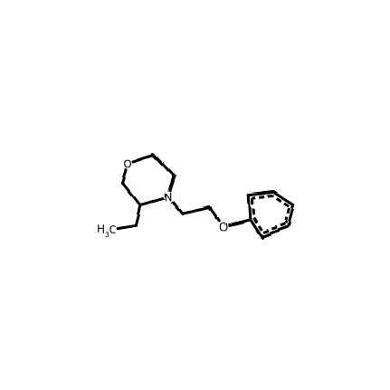 CCC1COCCN1CCOc1ccccc1